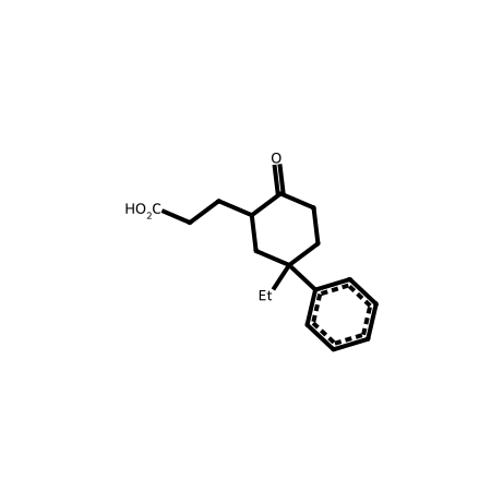 CCC1(c2ccccc2)CCC(=O)C(CCC(=O)O)C1